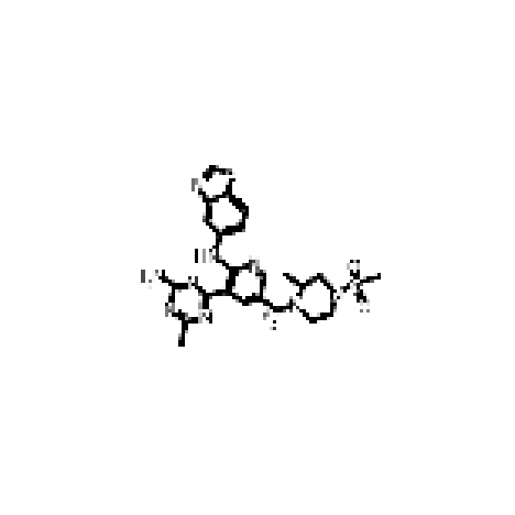 Cc1nc(N)nc(-c2cc([C@@H](C)N3CCN(S(C)(=O)=O)CC3C)cnc2Nc2ccc3scnc3c2)n1